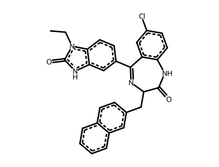 CCn1c(=O)[nH]c2cc(C3=NC(Cc4ccc5ccccc5c4)C(=O)Nc4ccc(Cl)cc43)ccc21